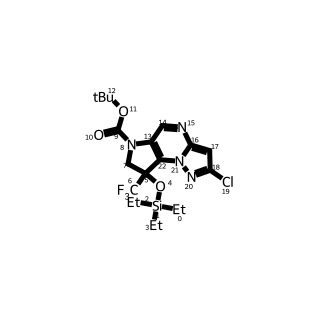 CC[Si](CC)(CC)OC1(C(F)(F)F)CN(C(=O)OC(C)(C)C)c2cnc3cc(Cl)nn3c21